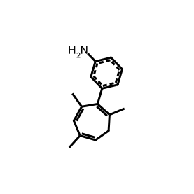 CC1=CCC(C)=C(c2cccc(N)c2)C(C)=C1